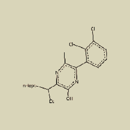 CCCCCCCC(CC)c1nc(C)c(-c2cccc(Cl)c2Cl)nc1O